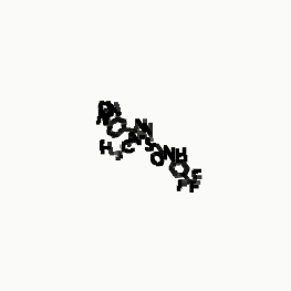 Cn1c(SCC(=O)Nc2ccc(C(F)(F)F)cc2)nnc1-c1ccc2nonc2c1